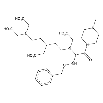 CN1CCN(C(=O)C(NOCc2ccccc2)N(CCC(CCN(CC(=O)O)CC(=O)O)CC(=O)O)CC(=O)O)CC1